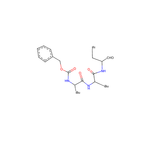 CCC(C)C(NC(=O)OCc1ccccc1)C(=O)NC(C(=O)NC(C=O)CC(C)C)C(C)CC